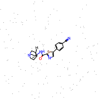 N#Cc1ccc(-c2cnc(C(=O)N[C@H]3CN4CCC3CC4)s2)cc1